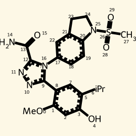 COc1cc(O)c(C(C)C)cc1-c1nnc(C(N)=O)n1-c1ccc2c(c1)CCN2S(C)(=O)=O